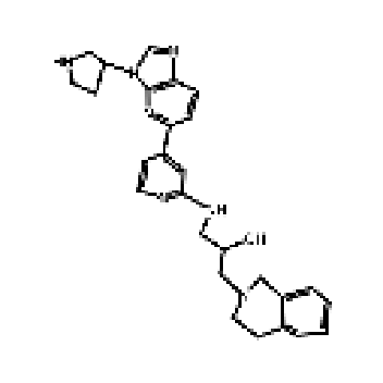 OC(CNc1cc(-c2ccc3ncn(C4CCNC4)c3n2)ccn1)CN1CCc2ccccc2C1